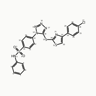 O=S(=O)(Nc1ccccc1)c1ccc(-n2nnnc2Sc2nc(-c3ccc(Cl)cc3)cs2)cc1